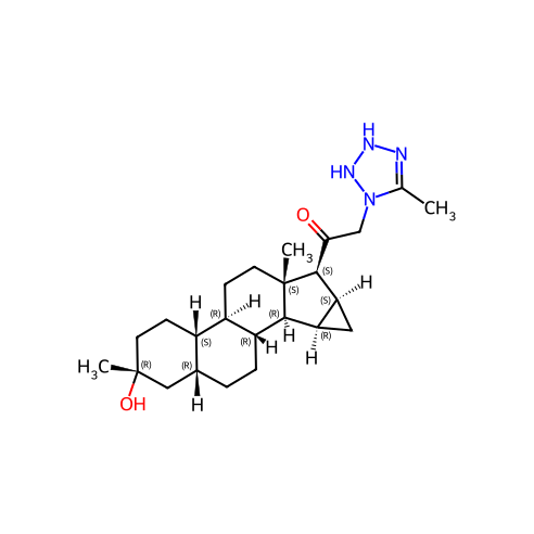 CC1=NNNN1CC(=O)[C@H]1[C@H]2C[C@H]2[C@H]2[C@@H]3CC[C@@H]4C[C@](C)(O)CC[C@@H]4[C@H]3CC[C@@]21C